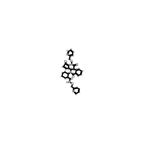 O=C(NOCc1ccccn1)C1CCCCC1N1C(=O)c2ccccc2C(C(=O)NOCc2ccccn2)C1C1C=CC(Cl)=C1